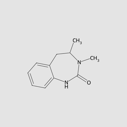 CC1Cc2ccccc2NC(=O)N1C